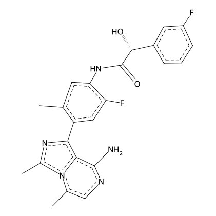 Cc1cc(NC(=O)[C@H](O)c2cccc(F)c2)c(F)cc1-c1nc(C)n2c(C)cnc(N)c12